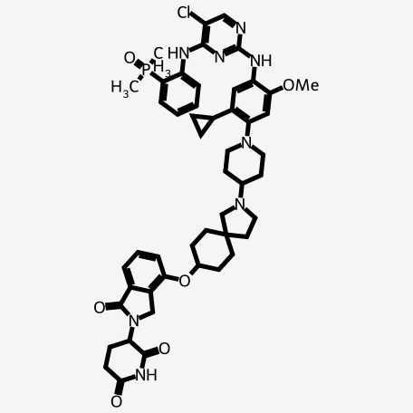 COc1cc(N2CCC(N3CCC4(CCC(Oc5cccc6c5CN(C5CCC(=O)NC5=O)C6=O)CC4)C3)CC2)c(C2CC2)cc1Nc1ncc(Cl)c(Nc2ccccc2P(C)(C)=O)n1